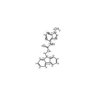 Cn1cnc2c(NC(=O)OCC3c4ccccc4-c4ccccc43)ncnc21